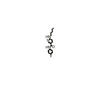 CCCCCNc1ccc(C(=O)Nc2ccc(F)cc2)cn1